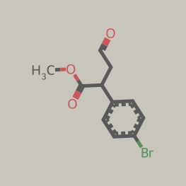 COC(=O)C(CC=O)c1ccc(Br)cc1